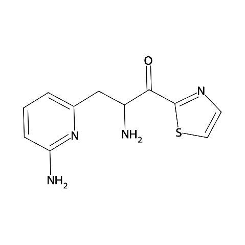 Nc1cccc(CC(N)C(=O)c2nccs2)n1